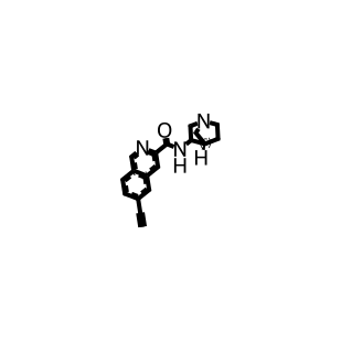 C#Cc1ccc2cnc(C(=O)NC3CN4CC[C@H]3C4)cc2c1